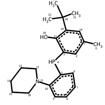 Cc1cc(Pc2ccccc2N2CCCCC2)c(O)c(C(C)(C)C)c1